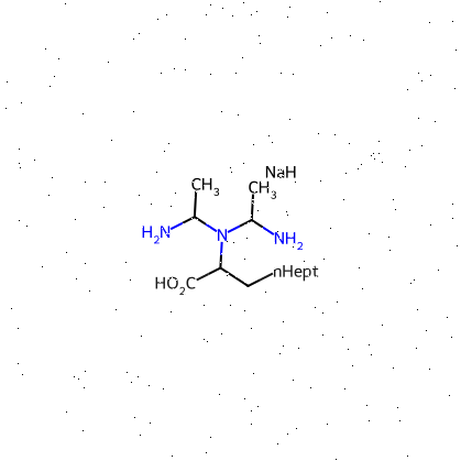 CCCCCCCCC(C(=O)O)N(C(C)N)C(C)N.[NaH]